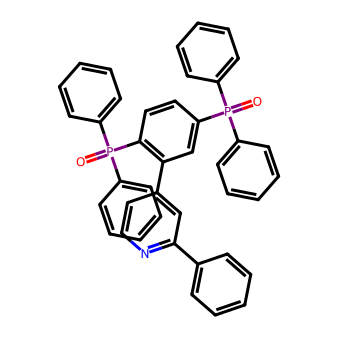 O=P(c1ccccc1)(c1ccccc1)c1ccc(P(=O)(c2ccccc2)c2ccccc2)c(-c2ccnc(-c3ccccc3)c2)c1